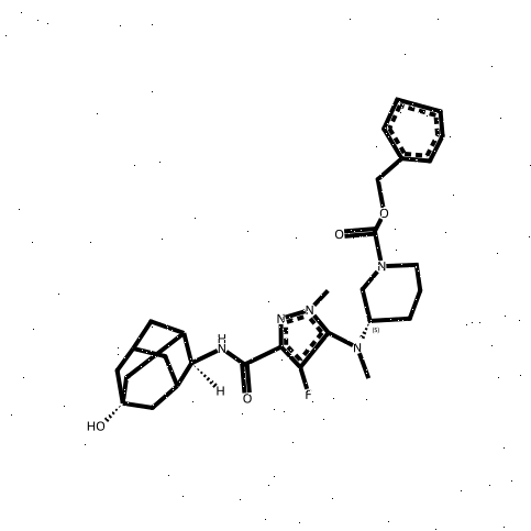 CN(c1c(F)c(C(=O)N[C@H]2C3CC4CC2C[C@](O)(C4)C3)nn1C)[C@H]1CCCN(C(=O)OCc2ccccc2)C1